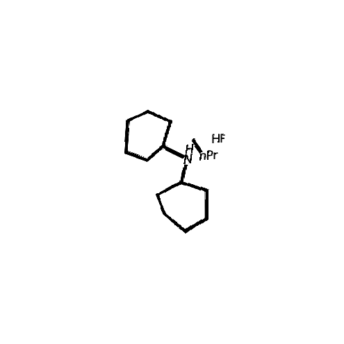 C1CCC(NC2CCCCC2)CC1.CCCC.F